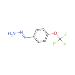 NN=Cc1ccc(OC(F)(F)F)cc1